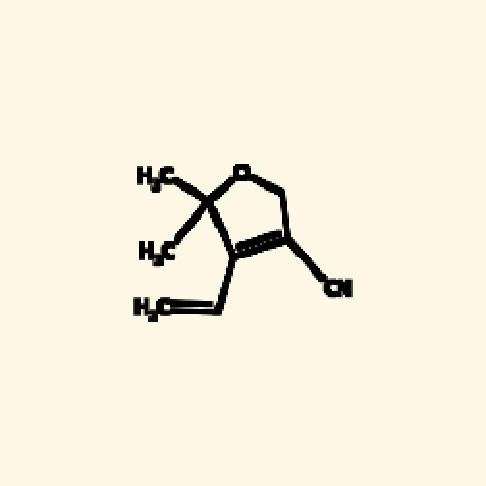 C=CC1=C(C#N)COC1(C)C